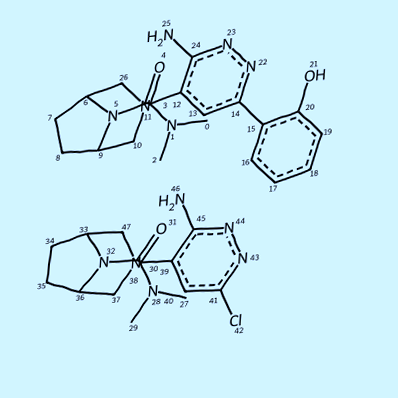 CN(C)C(=O)N1C2CCC1CN(c1cc(-c3ccccc3O)nnc1N)C2.CN(C)C(=O)N1C2CCC1CN(c1cc(Cl)nnc1N)C2